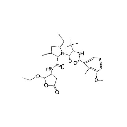 CCOC1OC(=O)CC1NC(=O)C1C(C)CC(CC)N1C(=O)C(NC(=O)c1cccc(OC)c1C)C(C)(C)C